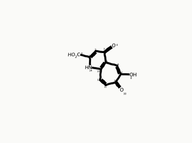 O=C(O)c1cc(=O)c2cc(O)c(=O)ccc2[nH]1